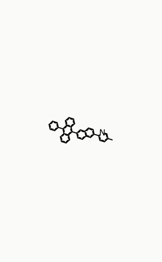 Cc1ccc(-c2ccc3cc(-c4c5ccccc5c(-c5ccccc5)c5ccccc45)ccc3c2)nc1